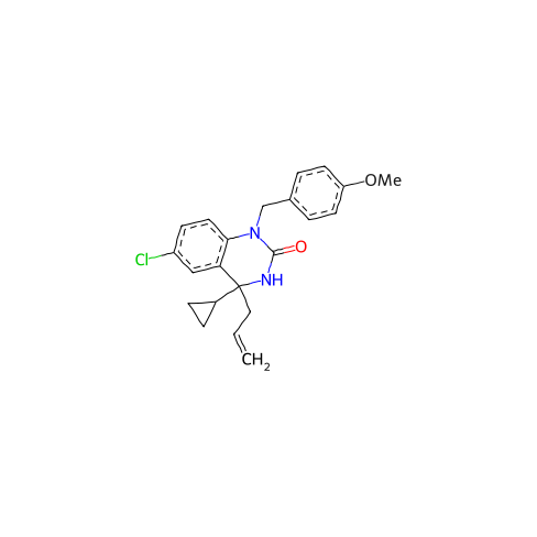 C=CCC1(C2CC2)NC(=O)N(Cc2ccc(OC)cc2)c2ccc(Cl)cc21